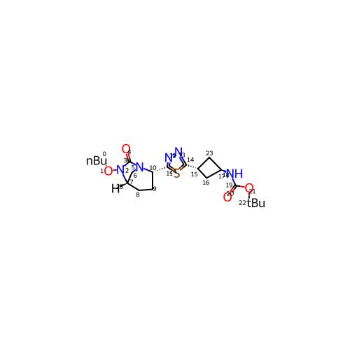 CCCCON1C(=O)N2C[C@@H]1CC[C@H]2c1nnc([C@H]2C[C@H](NC(=O)OC(C)(C)C)C2)s1